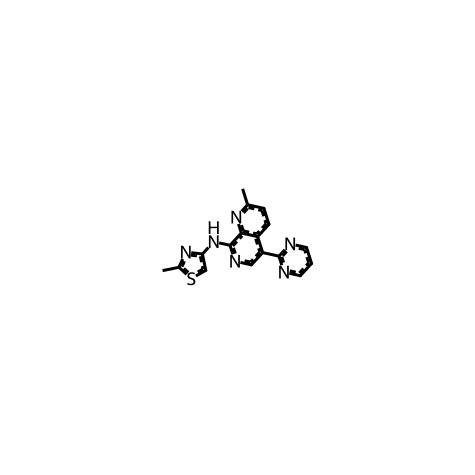 Cc1ccc2c(-c3ncccn3)cnc(Nc3csc(C)n3)c2n1